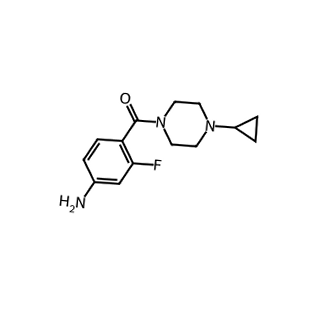 Nc1ccc(C(=O)N2CCN(C3CC3)CC2)c(F)c1